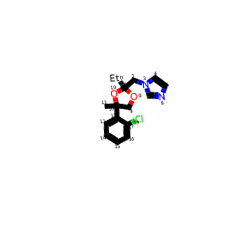 CCC1(Cn2ccnc2)OCC(C)(c2ccccc2Cl)O1